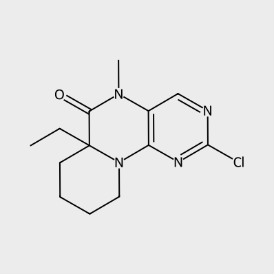 CCC12CCCCN1c1nc(Cl)ncc1N(C)C2=O